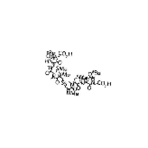 CN[C@@H](CSSC[C@H](NC)C(=O)N(C)[C@@H](CSC)C(=O)N(C)C[C@@H](NC(=O)OC(C)(C)C)C(=O)NCC(=O)O)C(=O)N(C)[C@@H](CSC)C(=O)NC[C@@H](NC(=O)OC(C)(C)C)C(=O)NCC(=O)O